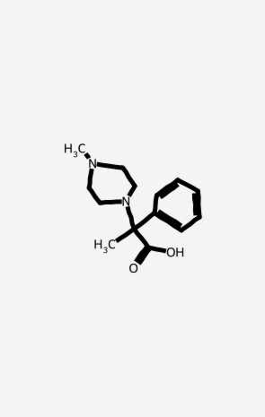 CN1CCN(C(C)(C(=O)O)c2ccccc2)CC1